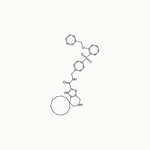 O=C(NCc1ccc(S(=O)(=O)c2ccccc2OCc2ccccc2)cc1)c1cc2c([nH]1)C1(CCCCCCCCCC1)CNC2